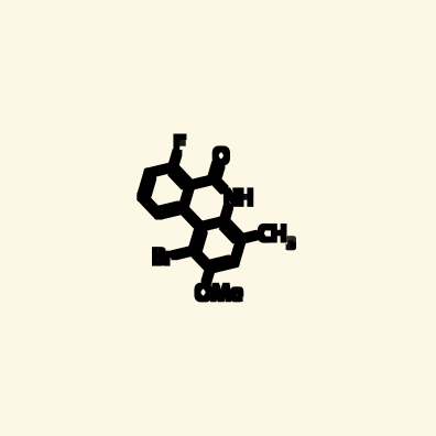 COc1cc(C)c2[nH]c(=O)c3c(F)cccc3c2c1Br